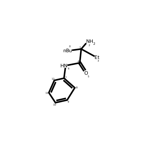 CCCCC(N)(CC)C(=O)Nc1ccccc1